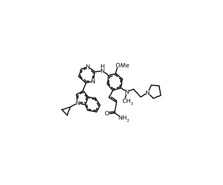 COc1cc(N(C)CCN2CCCC2)c(C=CC(N)=O)cc1Nc1nccc(-c2cn(C3CC3)c3ccccc23)n1